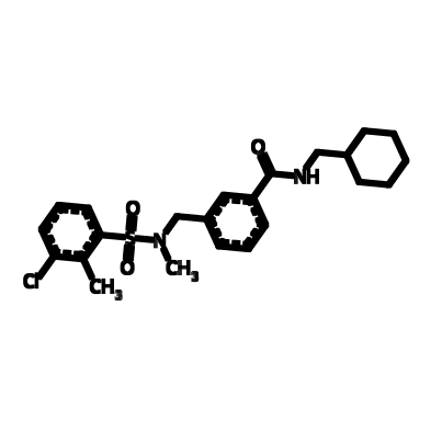 Cc1c(Cl)cccc1S(=O)(=O)N(C)Cc1cccc(C(=O)NCC2CCCCC2)c1